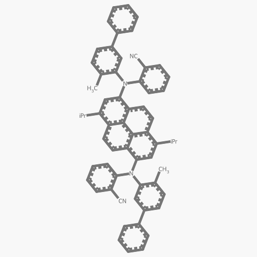 Cc1ccc(-c2ccccc2)cc1N(c1ccccc1C#N)c1cc(C(C)C)c2ccc3c(N(c4cc(-c5ccccc5)ccc4C)c4ccccc4C#N)cc(C(C)C)c4ccc1c2c43